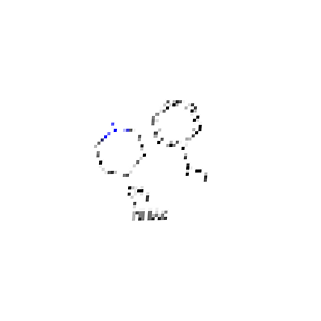 C1CCNCC1.CNC(C)=O.Cc1ccccc1